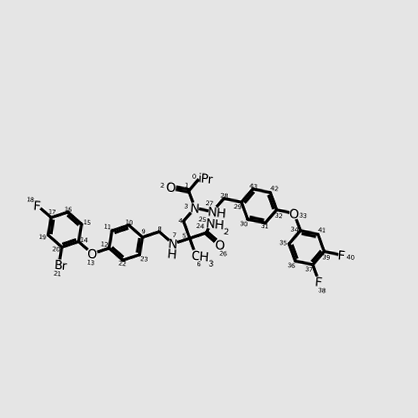 CC(C)C(=O)N(CC(C)(NCc1ccc(Oc2ccc(F)cc2Br)cc1)C(N)=O)NCc1ccc(Oc2ccc(F)c(F)c2)cc1